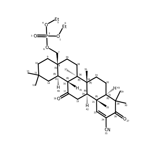 CCOP(=O)(OCC)OC[C@]12CCC(C)(C)C[C@@H]1[C@H]1C(=O)C[C@@H]3[C@@]4(C)C=C(C#N)C(=O)C(C)(C)[C@@H]4CC[C@@]3(C)[C@]1(C)CC2